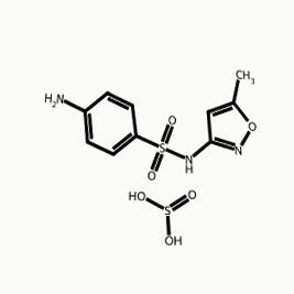 Cc1cc(NS(=O)(=O)c2ccc(N)cc2)no1.O=S(O)O